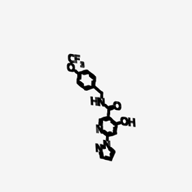 O=C(NCc1ccc(OC(F)(F)F)cc1)c1cnc(-n2cccn2)cc1O